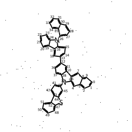 c1ccc2cc3c(cc2c1)c1cc(-c2ccc4c(c2)c2ccccc2n4-c2cccc4ccccc24)ccc1n3-c1ccc2c(c1)sc1ccccc12